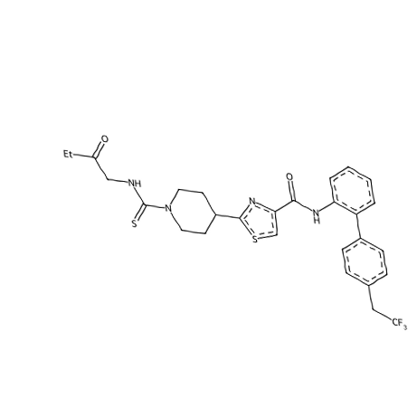 CCC(=O)CNC(=S)N1CCC(c2nc(C(=O)Nc3ccccc3-c3ccc(CC(F)(F)F)cc3)cs2)CC1